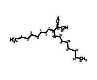 CCCCCCCCC(SCCCCCCC)C(=O)O